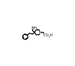 NCC1(CCc2ccccc2)CCN(CC(=O)O)CC1